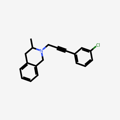 CC1Cc2ccccc2CN1CC#Cc1cccc(Cl)c1